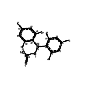 Cc1cc(C)c([SiH](O[PH](=O)O)c2c(C)cc(C)cc2C)c(C)c1